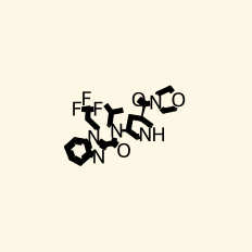 CC(C)CN(C(=O)c1nc2ccccc2n1CCC(F)(F)F)[C@@H]1CNC[C@H](C(=O)N2CCOCC2)C1